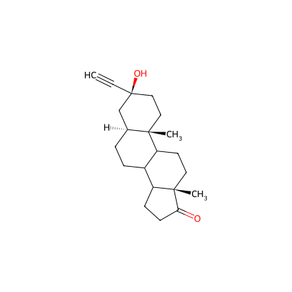 C#C[C@]1(O)CC[C@]2(C)C3CC[C@]4(C)C(=O)CCC4C3CC[C@H]2C1